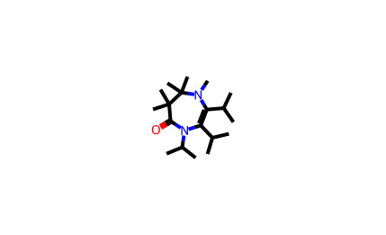 CC(C)C1=C(C(C)C)N(C)C(C)(C)C(C)(C)C(=O)N1C(C)C